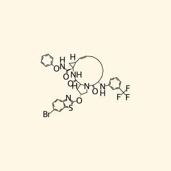 O=C1N[C@]2(C(=O)NOc3ccccc3)C[C@H]2/C=C\CCCCC[C@H](Nc2cccc(C(F)(F)F)c2)C(=O)N2C[C@H](Oc3nc4ccc(Br)cc4s3)C[C@@H]12